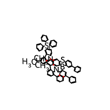 CC(C)(C)c1ccc2c(c1)c1cc([Si](c3ccccc3)(c3ccccc3)c3ccccc3)ccc1n2-c1cc2c3c(c1)N(c1c(-c4ccccc4)cccc1-c1ccccc1)c1ccc(-c4ccccc4)cc1B3c1cc(-c3ccccc3)ccc1S2